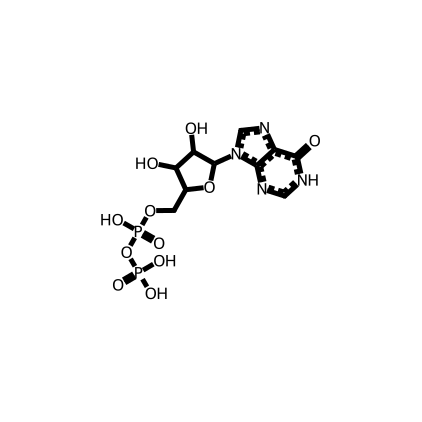 O=c1[nH]cnc2c1ncn2C1OC(COP(=O)(O)OP(=O)(O)O)C(O)C1O